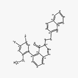 COc1cc(F)c(F)cc1-c1cccc2cnn(CCc3ccc4ccccc4n3)c(=O)c12